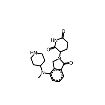 CN(c1cccc2c1CN(C1CCC(=O)NC1=O)C2=O)C1CCNCC1